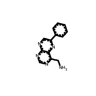 NCc1ncnc2ncc(-c3ccccc3)nc12